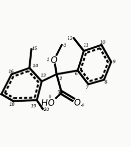 COC(C(=O)O)(c1ccccc1C)c1c(C)cccc1C